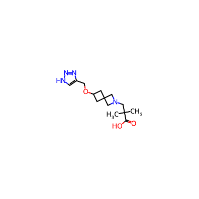 CC(C)(CN1CC2(CC(OCc3c[nH]nn3)C2)C1)C(=O)O